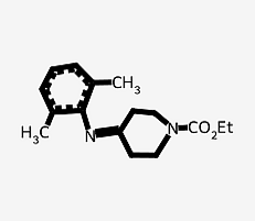 CCOC(=O)N1CCC(=Nc2c(C)cccc2C)CC1